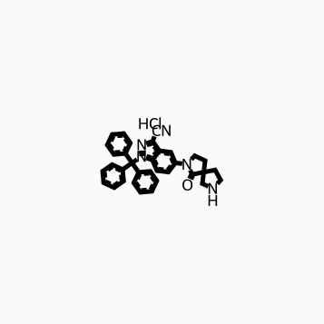 Cl.N#Cc1nn(C(c2ccccc2)(c2ccccc2)c2ccccc2)c2ccc(N3CCC4(CCNC4)C3=O)cc12